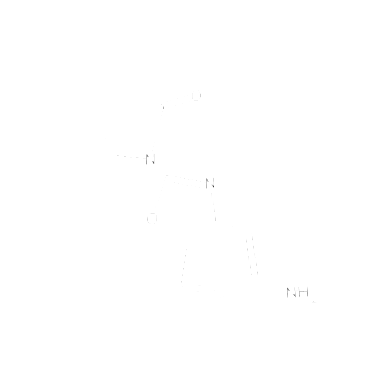 Nc1ccc2oc(N3CCCC3=O)nc2c1